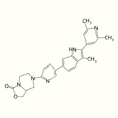 Cc1cc(-c2[nH]c3cc(-c4ccc(N5CCN6C(=O)OCC6C5)nc4)ccc3c2C)cc(C)n1